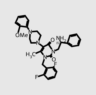 COc1ccccc1N1CCN(c2c(C)n(Cc3c(F)cccc3F)c(=O)n(C[C@@H](N)c3ccccc3)c2=O)CC1